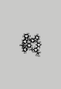 CC(C)(C)c1cc(-c2cccc(-n3c4ccccc4c4cc(-n5c6ccccc6c6ccc([Si](c7ccccc7)(c7ccccc7)C(C)(C)C)cc65)ccc43)c2)cc(C(C)(C)C)c1